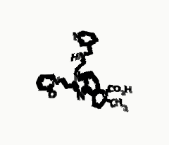 C[C@H]1CCc2c(ccc3c2nc(CCn2ccccc2=O)n3CCNCc2cccnc2)N1C(=O)O